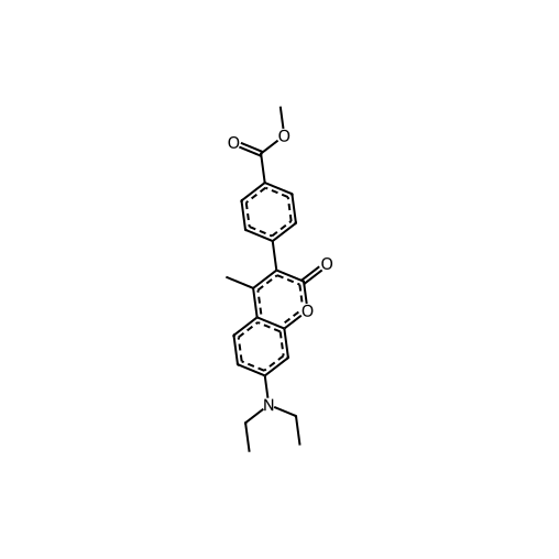 CCN(CC)c1ccc2c(C)c(-c3ccc(C(=O)OC)cc3)c(=O)oc2c1